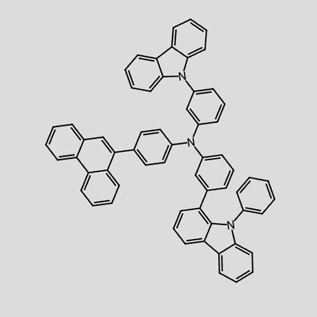 c1ccc(-n2c3ccccc3c3cccc(-c4cccc(N(c5ccc(-c6cc7ccccc7c7ccccc67)cc5)c5cccc(-n6c7ccccc7c7ccccc76)c5)c4)c32)cc1